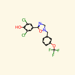 Oc1c(Cl)cc(C2=NCN(Cc3cccc(OC(F)(F)F)c3)O2)cc1Cl